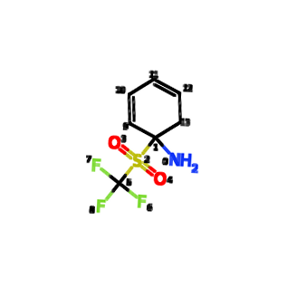 NC1(S(=O)(=O)C(F)(F)F)C=CC=CC1